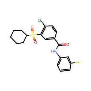 O=C(Nc1cccc(F)c1)c1ccc(Cl)c(S(=O)(=O)C2CCCCC2)c1